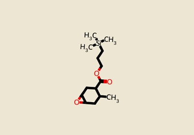 CC1CC2OC2CC1C(=O)OCCC[Si](C)(C)C